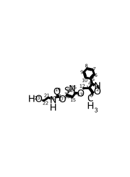 Cc1onc(-c2ccccc2)c1COc1cc(OC(=O)NCCO)sn1